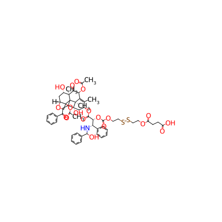 CC(=O)OC1C(=O)[C@]2(C)[C@@H](O)C[C@H]3OC[C@@]3(OC(C)=O)C23C(CC(=O)c2ccccc2)[C@]2(O)C[C@H](OC(=O)[C@H](OC(=O)OCCSSCCOC(=O)CCC(=O)O)[C@@H](NC(O)c4ccccc4)c4ccccc4)C(C)=C1[C@]32C